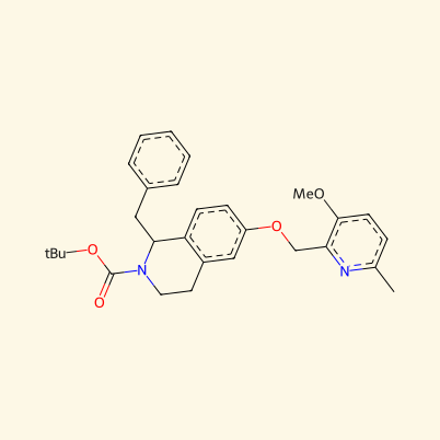 COc1ccc(C)nc1COc1ccc2c(c1)CCN(C(=O)OC(C)(C)C)C2Cc1ccccc1